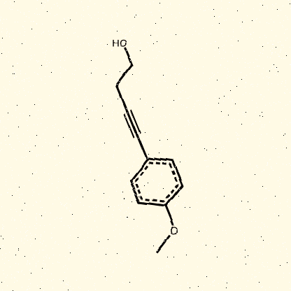 COc1ccc(C#CCCO)cc1